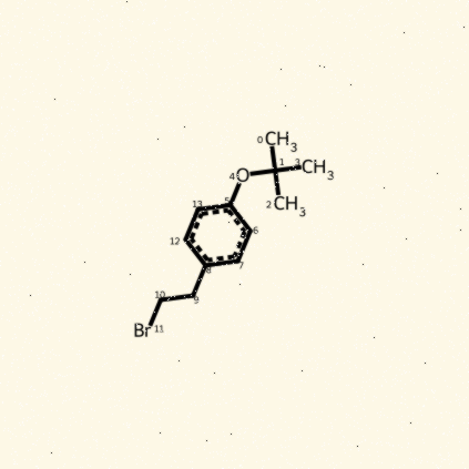 CC(C)(C)Oc1ccc(CCBr)cc1